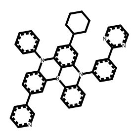 c1ccc(N2c3ccc(-c4cccnc4)cc3B3c4ccccc4N(c4cccc(-c5ncccn5)c4)c4cc(C5CCCCC5)cc2c43)cc1